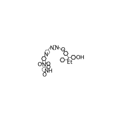 CCC(=C(c1ccc(O)cc1)c1ccc(OCCN2CCN(CC3CCN(c4ccc5c(c4)C(=O)N(C4CCC(=O)NC4=O)C5=O)CC3)CC2)cc1)c1ccccc1